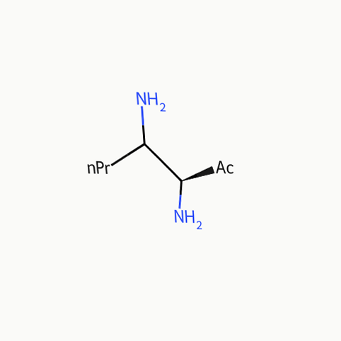 CCCC(N)[C@H](N)C(C)=O